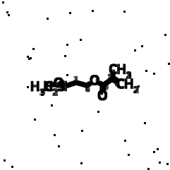 C=C(C)C(=O)OCC[SiH2]OC